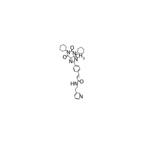 CC12N=C(c3ccc(/C=C/C(=O)NCCc4cccnc4)cc3)N=C1C(=O)N(C1CCCCC1)C(=O)N2C1CCCCC1